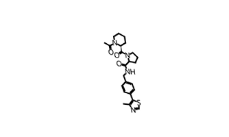 CC(=O)N1CCCC[C@H]1C(=O)N1CCCC1C(=O)NCc1ccc(-c2scnc2C)cc1